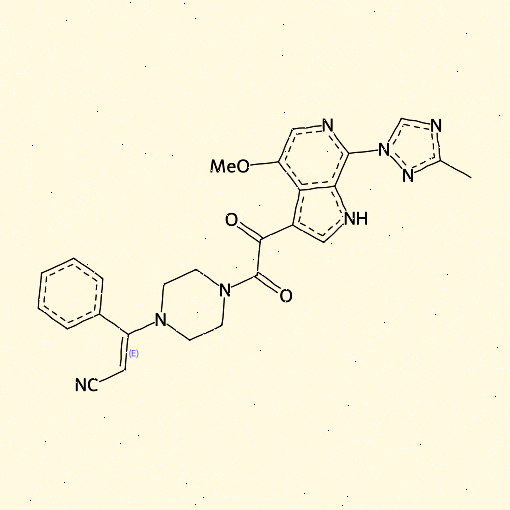 COc1cnc(-n2cnc(C)n2)c2[nH]cc(C(=O)C(=O)N3CCN(/C(=C/C#N)c4ccccc4)CC3)c12